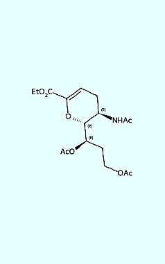 CCOC(=O)C1=CC[C@@H](NC(C)=O)[C@H]([C@@H](CCOC(C)=O)OC(C)=O)O1